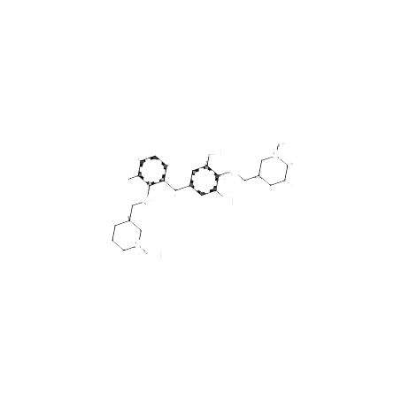 Cc1cc(Cc2cccc(C)c2OCC2CCCN(C)C2)cc(C)c1OCC1CCCN(C)C1